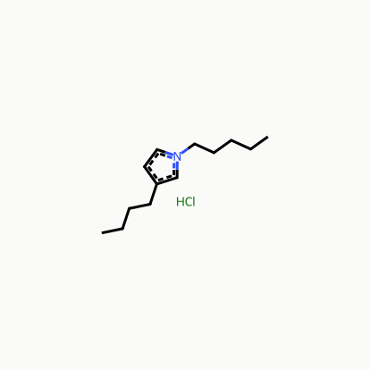 CCCCCn1ccc(CCCC)c1.Cl